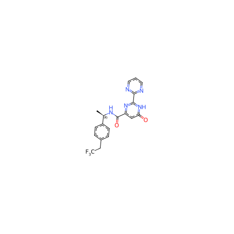 C[C@@H](NC(=O)c1cc(=O)[nH]c(-c2ncccn2)n1)c1ccc(CC(F)(F)F)cc1